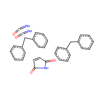 N=C=O.N=C=O.O=C1C=CC(=O)N1.c1ccc(Cc2ccccc2)cc1.c1ccc(Cc2ccccc2)cc1